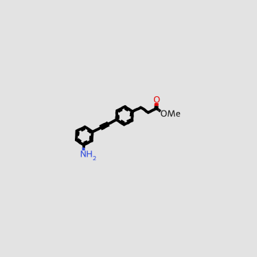 COC(=O)CCc1ccc(C#Cc2cccc(N)c2)cc1